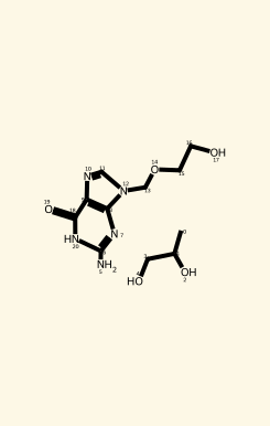 CC(O)CO.Nc1nc2c(ncn2COCCO)c(=O)[nH]1